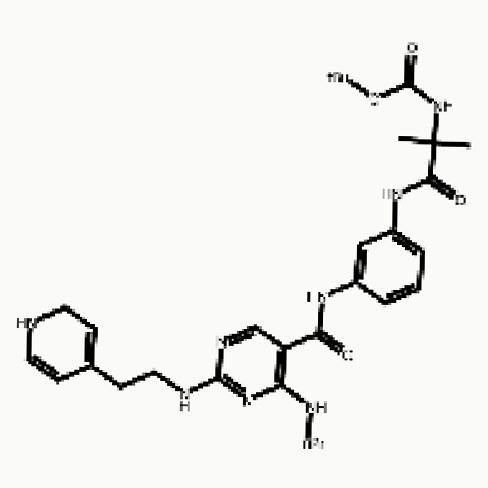 CCCNc1nc(NCCC2=CCNC=C2)ncc1C(=O)Nc1cccc(NC(=O)C(C)(C)NC(=O)OC(C)(C)C)c1